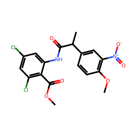 COC(=O)c1c(Cl)cc(Cl)cc1NC(=O)C(C)c1ccc(OC)c([N+](=O)[O-])c1